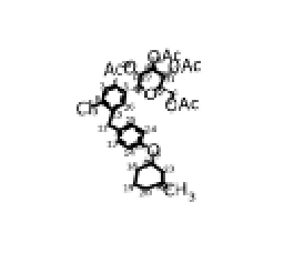 CC(=O)OC[C@H]1O[C@H](c2ccc(Cl)c(Cc3ccc(O[C@H]4CCC[C@@H](C)C4)cc3)c2)[C@H](OC(C)=O)[C@@H](OC(C)=O)[C@@H]1OC(C)=O